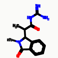 CCCN1C(=O)c2ccccc2C1C(C)C(=O)NC(=N)N